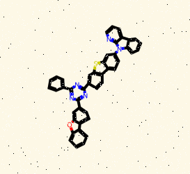 c1ccc(-c2nc(-c3ccc4c(c3)oc3ccccc34)nc(-c3ccc4c(c3)sc3cc(-n5c6ccccc6c6cccnc65)ccc34)n2)cc1